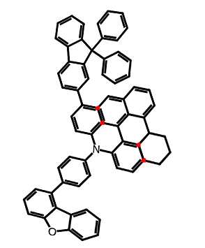 c1ccc(C2(c3ccccc3)c3ccccc3-c3ccc(-c4ccc(N(c5ccc(-c6cccc7oc8ccccc8c67)cc5)c5ccccc5-c5cccc6cccc(C7CCCCC7)c56)cc4)cc32)cc1